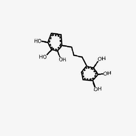 Oc1ccc(CCCc2ccc(O)c(O)c2O)c(O)c1O